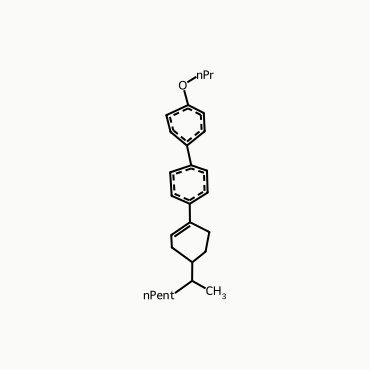 CCCCCC(C)C1CC=C(c2ccc(-c3ccc(OCCC)cc3)cc2)CC1